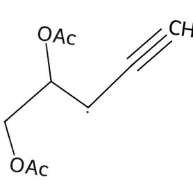 C#C[CH]C(COC(C)=O)OC(C)=O